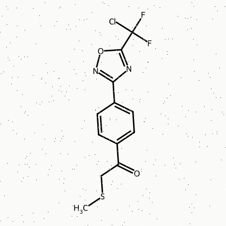 CSCC(=O)c1ccc(-c2noc(C(F)(F)Cl)n2)cc1